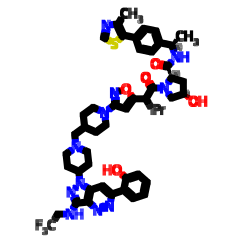 Cc1ncsc1-c1ccc([C@H](C)NC(=O)[C@@H]2C[C@@H](O)CN2C(=O)C(c2cc(N3CCC(CN4CCC(n5nc(NCC(F)(F)F)c6nnc(-c7ccccc7O)cc65)CC4)CC3)no2)C(C)C)cc1